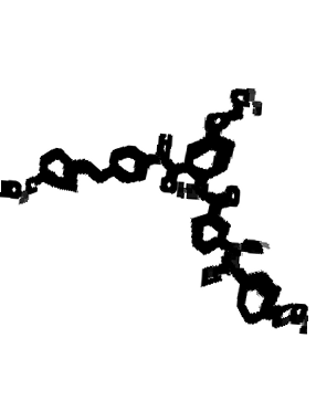 CCN(C1CCC(C(=O)O)CC1)[S+]([O-])c1cccc(C(=O)Nc2ccc(OCC(F)(F)F)cc2C(=O)Nc2ccc(CCc3ccc(C(=O)O)cc3)cc2)c1